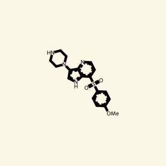 COc1ccc(S(=O)(=O)c2ccnc3c(N4CCNCC4)c[nH]c23)cc1